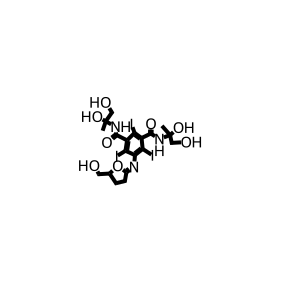 CC(O)(CO)NC(=O)c1c(I)c(N=C2CCC(CO)O2)c(I)c(C(=O)NC(C)(O)CO)c1I